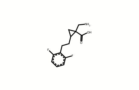 NCC1(C(=O)O)CC1CCc1c(F)cccc1F